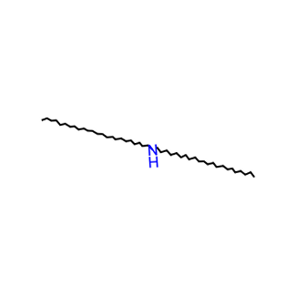 CCCCCCCCCCCCCCCCCCCCCCCCNCCCCCCCCCCCCCCCCCCCCCC